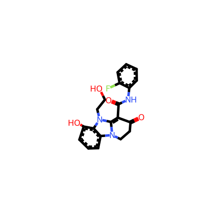 O=C1CCN2C(=C1C(=O)Nc1ccccc1F)N(CCO)c1c(O)cccc12